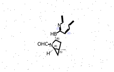 C=C/C=C\C(B[C@@H]1C[C@@]2(C)C[C@H]2N1C=O)=N/C=C